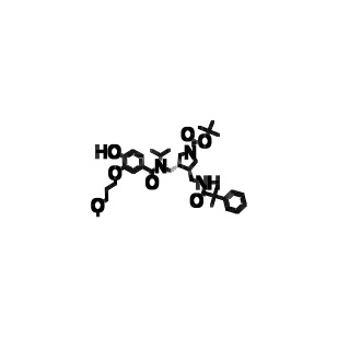 COCCCOc1cc(C(=O)N(C[C@@H]2CN(C(=O)OC(C)(C)C)C[C@H]2CNC(=O)C(C)(C)c2ccccc2)C(C)C)ccc1O